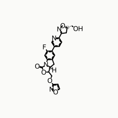 O=C1OC(COc2ccon2)[C@@H]2Cc3cc(-c4ccc(C5=NO[C@H](CO)C5)nc4)c(F)cc3N12